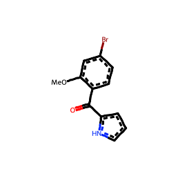 COc1cc(Br)ccc1C(=O)c1ccc[nH]1